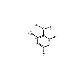 CCCN(CCC)c1c(Cl)cc(C(C)=O)cc1[N+](=O)[O-]